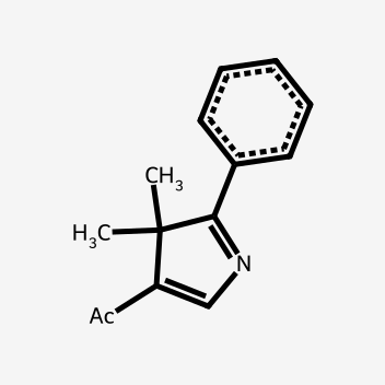 CC(=O)C1=CN=C(c2ccccc2)C1(C)C